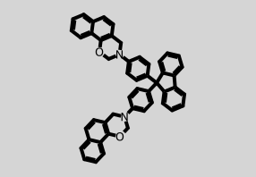 c1ccc2c(c1)-c1ccccc1C2(c1ccc(N2COc3c(ccc4ccccc34)C2)cc1)c1ccc(N2COc3c(ccc4ccccc34)C2)cc1